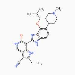 CCc1[nH]c2c(-c3nc4c(OCC(C)C)c(C5CCN(C)CC5)ccc4[nH]3)c(=O)[nH]cc2c1C#N